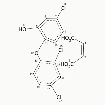 O=C(O)/C=C\C(=O)O.Oc1cc(Cl)ccc1Oc1ccc(Cl)cc1Cl